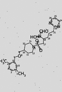 Cc1ccc(C)c(COCC2CCN(S(=O)(=O)CC(CCCc3ncccn3)N(O)C=O)CC2)c1